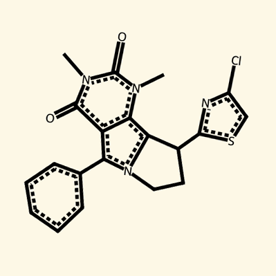 Cn1c(=O)c2c(-c3ccccc3)n3c(c2n(C)c1=O)C(c1nc(Cl)cs1)CC3